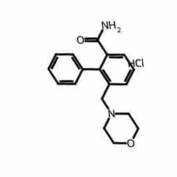 Cl.NC(=O)c1cccc(CN2CCOCC2)c1-c1ccccc1